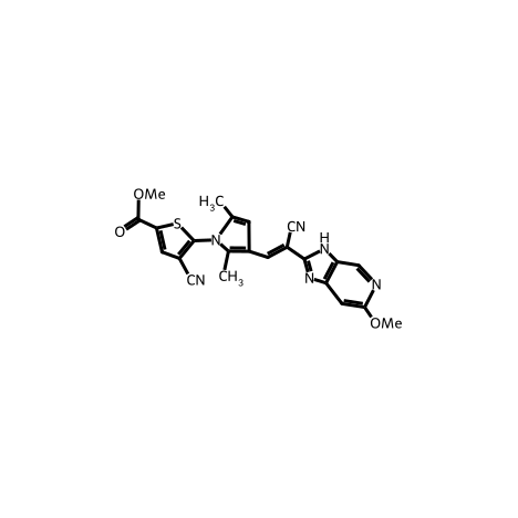 COC(=O)c1cc(C#N)c(-n2c(C)cc(C=C(C#N)c3nc4cc(OC)ncc4[nH]3)c2C)s1